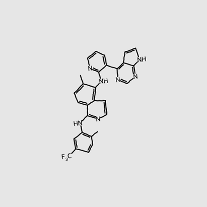 Cc1ccc(C(F)(F)F)cc1Nc1nccc2c(Nc3ncccc3-c3ncnc4[nH]ccc34)c(C)ccc12